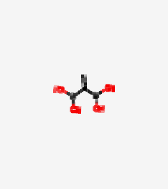 C=C(B(O)O)B(O)O